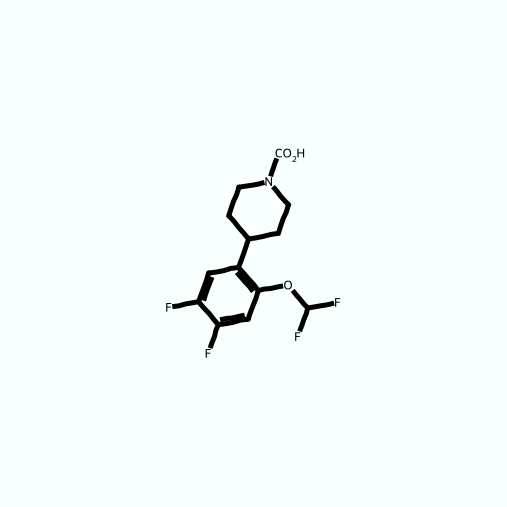 O=C(O)N1CCC(c2cc(F)c(F)cc2OC(F)F)CC1